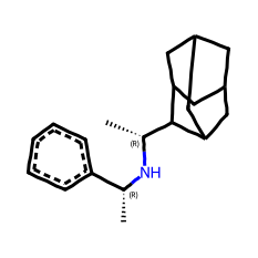 C[C@@H](N[C@H](C)C1C2CC3CC(C2)CC1C3)c1ccccc1